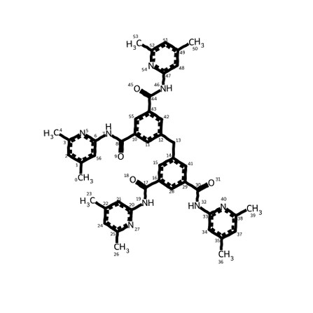 Cc1cc(C)nc(NC(=O)c2cc(Cc3cc(C(=O)Nc4cc(C)cc(C)n4)cc(C(=O)Nc4cc(C)cc(C)n4)c3)cc(C(=O)Nc3cc(C)cc(C)n3)c2)c1